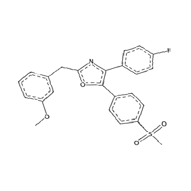 COc1cccc(Cc2nc(-c3ccc(F)cc3)c(-c3ccc(S(C)(=O)=O)cc3)o2)c1